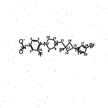 O=[N+]([O-])c1ccc(N2CCN(CC3(F)CC(n4cc(Br)cn4)C3)CC2)c(F)c1